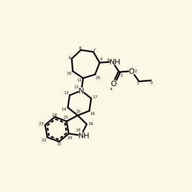 CCOC(=O)NC1CCCCC(N2CCC3(CC2)CNc2ccccc23)C1